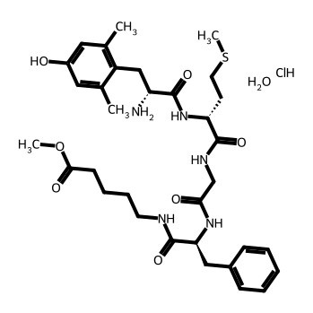 COC(=O)CCCCNC(=O)[C@H](Cc1ccccc1)NC(=O)CNC(=O)[C@@H](CCSC)NC(=O)[C@H](N)Cc1c(C)cc(O)cc1C.Cl.O